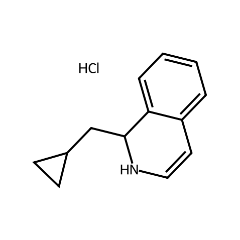 C1=Cc2ccccc2C(CC2CC2)N1.Cl